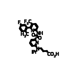 Cc1ccc(F)cc1-c1nc(NS(=O)(=O)c2cccc(N(CCCC(=O)O)C(C)C)n2)ccc1C(F)(F)F